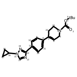 CC(C)(C)OC(=O)N1CC=C(c2ccc(-c3ncn(C4CC4)n3)cc2)CC1